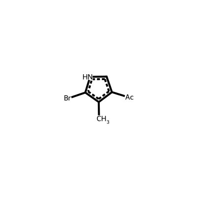 CC(=O)c1c[nH]c(Br)c1C